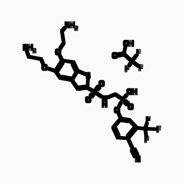 N#Cc1ccc(OP(=O)(O)CNS(=O)(=O)c2cc3cc(OCCN)c(OCCN)cc3s2)cc1C(F)(F)F.O=C(O)C(F)(F)F